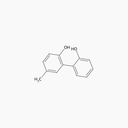 Cc1ccc(O)c(-c2ccccc2O)c1